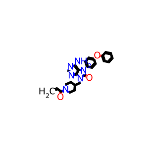 C=CC(=O)N1CCC(Cn2c(=O)n(-c3ccc(Oc4ccccc4)cc3)c3c(N)ncnc32)CC1